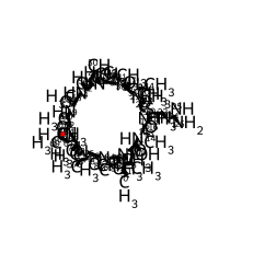 C/C=C/C[C@@H](C)[C@@H](O)C1C(=O)N[C@H](CC)C(=O)N(C)C(SCCNC(=N)N)C(=O)N(C)[C@@H](CC(C)C)C(=O)N[C@H](C(C)C)C(=O)N(C)C(CC(C)C)C(=O)N[C@H](C)C(=O)N[C@@H](C)C(=O)N(C)[C@H](CC(C)C)C(=O)N(C)[C@H](CC(C)C)C(=O)N(C)[C@@H](C(C)C)C(=O)N1C